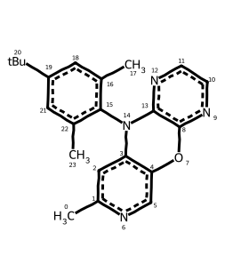 Cc1cc2c(cn1)Oc1nccnc1N2c1c(C)cc(C(C)(C)C)cc1C